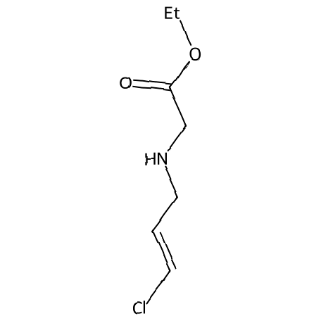 CCOC(=O)CNCC=CCl